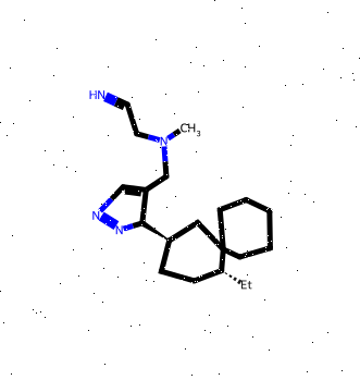 CC[C@@H]1CC[C@@H](C2N=NC=C2CN(C)CC=N)CC12CCCCC2